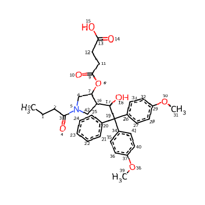 CCCC(=O)N1CC(OC(=O)CCC(=O)O)C(C(O)C(c2ccccc2)(c2ccc(OC)cc2)c2ccc(OC)cc2)C1